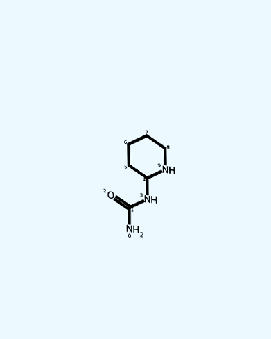 NC(=O)NC1CCCCN1